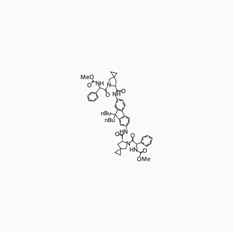 CCCCC1(CCCC)c2cc(NC(=O)[C@@H]3CC4(CC4)CN3C(=O)[C@H](NC(=O)OC)c3ccccc3)ccc2-c2ccc(NC(=O)[C@@H]3CC4(CC4)CN3C(=O)[C@H](NC(=O)OC)c3ccccc3)cc21